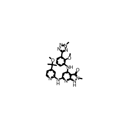 COc1c(Nc2cc(Nc3cc(C(C)(C)OC)ccn3)nc3[nH]n(C)c(=O)c23)cccc1-c1nnn(C)n1